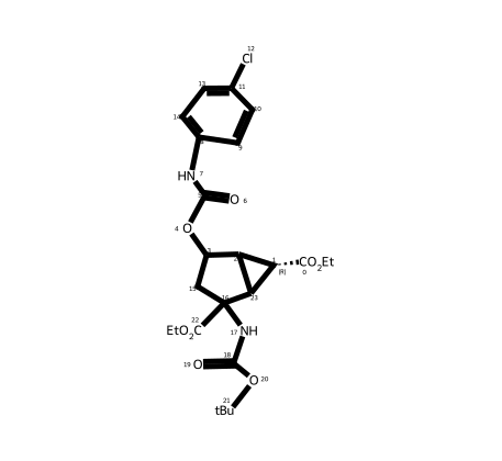 CCOC(=O)[C@H]1C2C(OC(=O)Nc3ccc(Cl)cc3)CC(NC(=O)OC(C)(C)C)(C(=O)OCC)C21